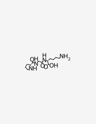 NCCCC[C@H](NC(=O)CNC(=O)[C@@H]1CCCN1)C(=O)O